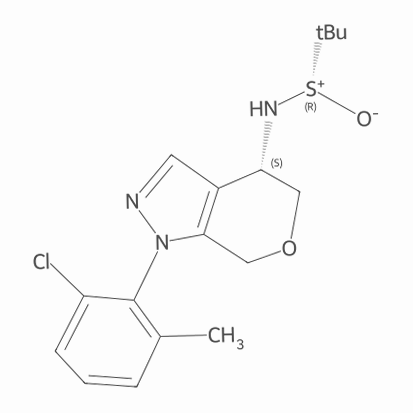 Cc1cccc(Cl)c1-n1ncc2c1COC[C@H]2N[S@@+]([O-])C(C)(C)C